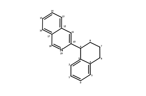 c1ccc2c(c1)CCCC2c1cc2ccccc2cn1